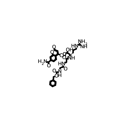 Cc1cc(=O)oc2cc(C(N)=O)ccc12.N=C(N)NCCC[C@H](NC(=O)CNC(=O)CNC(=O)OCc1ccccc1)C(=O)O